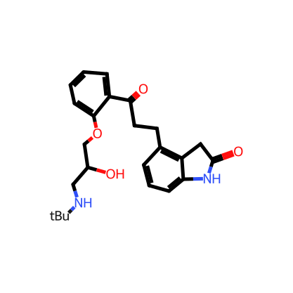 CC(C)(C)NCC(O)COc1ccccc1C(=O)CCc1cccc2c1CC(=O)N2